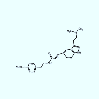 COc1ccc(CCNC(=O)/C=C/c2ccc3[nH]cc(CCN(C)C)c3c2)cc1